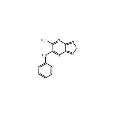 Cc1nc2nonc2nc1Nc1ccccc1